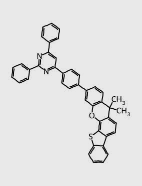 CC1(C)c2ccc(-c3ccc(-c4cc(-c5ccccc5)nc(-c5ccccc5)n4)cc3)cc2Oc2c1ccc1c2sc2ccccc21